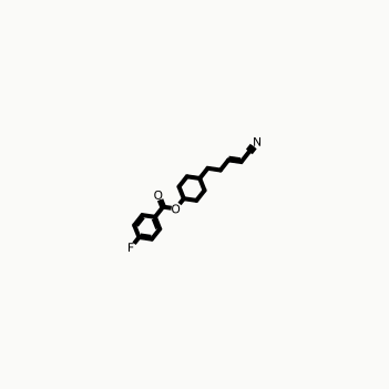 N#C/C=C/CCC1CCC(OC(=O)c2ccc(F)cc2)CC1